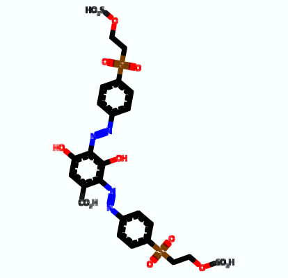 O=C(O)c1cc(O)c(N=Nc2ccc(S(=O)(=O)CCOS(=O)(=O)O)cc2)c(O)c1N=Nc1ccc(S(=O)(=O)CCOS(=O)(=O)O)cc1